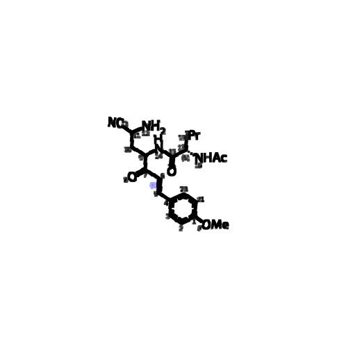 COc1ccc(/C=C/C(=O)C(CC(N)C#N)NC(=O)[C@@H](NC(C)=O)C(C)C)cc1